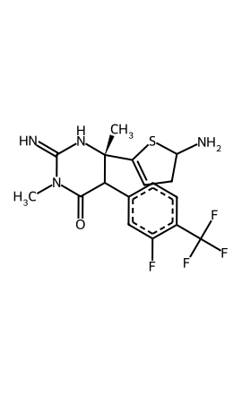 CN1C(=N)N[C@](C)(C2=CCC(N)S2)C(c2ccc(C(F)(F)F)c(F)c2)C1=O